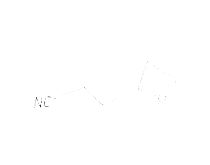 N#CCCC1CCO1